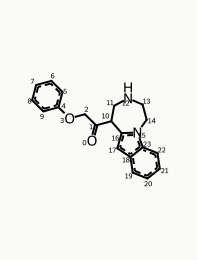 O=C(COc1ccccc1)C1CNCCn2c1cc1ccccc12